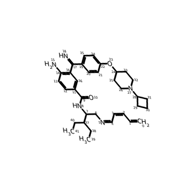 C=C/C=C\C=N/CC(NC(=O)c1ccc(N)c(C(=N)c2ccc(OC3CCN(C4CCC4)CC3)cc2)c1)C(CC)CC